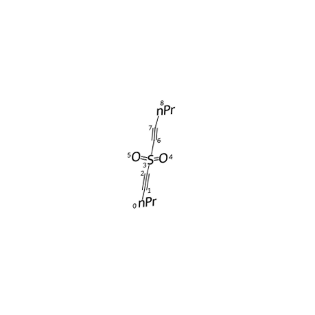 CCCC#CS(=O)(=O)C#CCCC